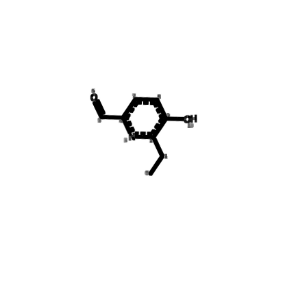 CCc1nc(C=O)ccc1O